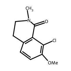 COc1ccc2c(c1Cl)C(=O)N(C)CC2